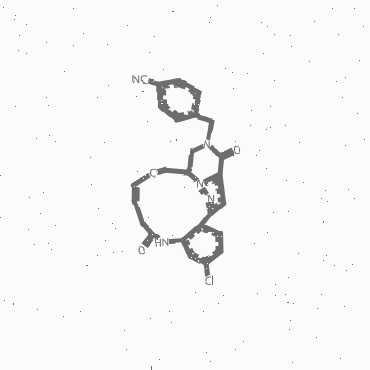 N#Cc1ccc(CN2CC3CC/C=C\CC(=O)Nc4cc(Cl)ccc4-c4cc(n3n4)C2=O)cc1